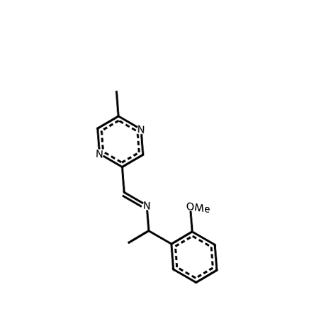 COc1ccccc1C(C)N=Cc1cnc(C)cn1